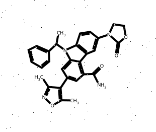 Cc1noc(C)c1-c1cc(C(N)=O)c2c3cc(N4CCOC4=O)ccc3n(C(C)c3ccccc3)c2c1